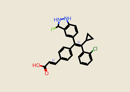 O=C(O)/C=C/c1ccc(/C(=C(\c2ccccc2Cl)C2CC2)c2ccc3c(c2)C(F)NN3)cc1